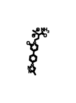 Cc1cn(-c2ccc(-c3ccn(CCC(C(N)=O)S(C)(=O)=O)c(=O)c3)cc2)nn1